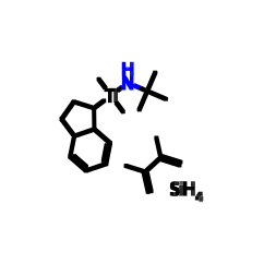 C=C(C)C(=C)C.CC(C)(C)[NH][Ti]([CH3])([CH3])[CH]1CCC2C=CC=CC21.[SiH4]